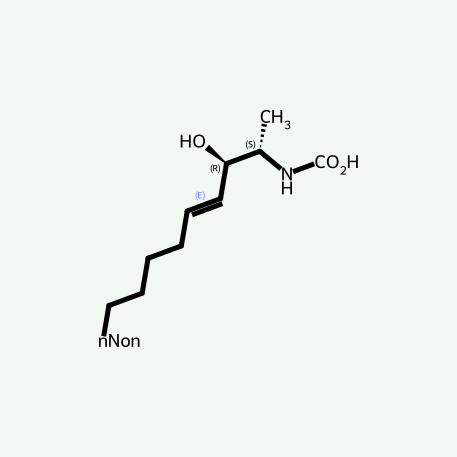 CCCCCCCCCCCCC/C=C/[C@@H](O)[C@H](C)NC(=O)O